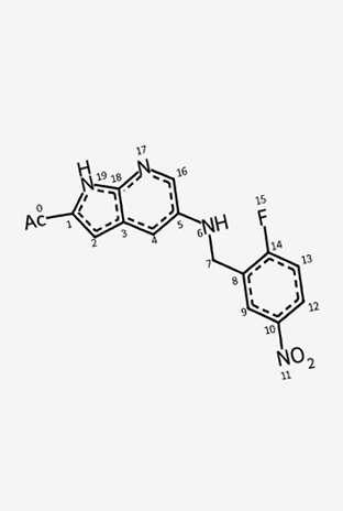 CC(=O)c1cc2cc(NCc3cc([N+](=O)[O-])ccc3F)cnc2[nH]1